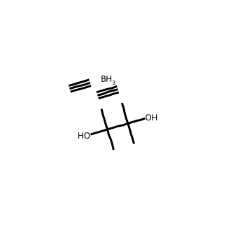 B.C#C.C#C.CC(C)(O)C(C)(C)O